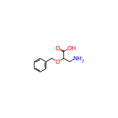 NCC(OCc1ccccc1)C(=O)O